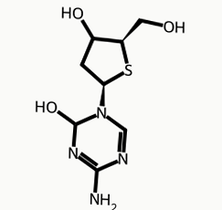 NC1=NC(O)N([C@H]2CC(O)[C@@H](CO)S2)C=N1